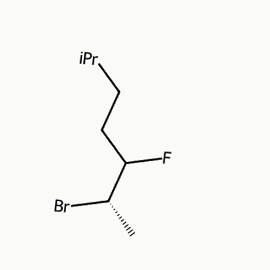 CC(C)CCC(F)[C@H](C)Br